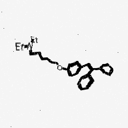 CCN(CC)CCCCCCOc1ccc(C=C(c2ccccc2)c2ccccc2)cc1